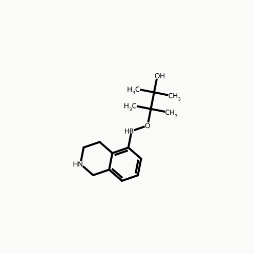 CC(C)(O)C(C)(C)OBc1cccc2c1CCNC2